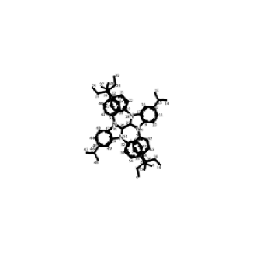 CCC(C)c1ccc(N2c3ccc(C(C)C)cc3N(c3ccc(C(C)CC)cc3)C2C2N(c3ccc(C(C)CC)cc3)c3ccc(C(C)C)cc3N2c2ccc(C(C)CC)cc2)cc1